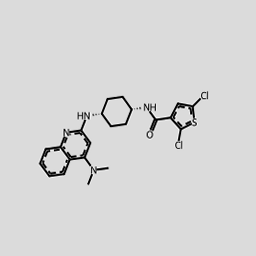 CN(C)c1cc(N[C@H]2CC[C@@H](NC(=O)c3cc(Cl)sc3Cl)CC2)nc2ccccc12